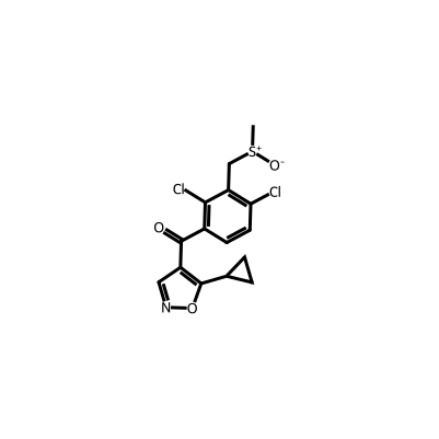 C[S+]([O-])Cc1c(Cl)ccc(C(=O)c2cnoc2C2CC2)c1Cl